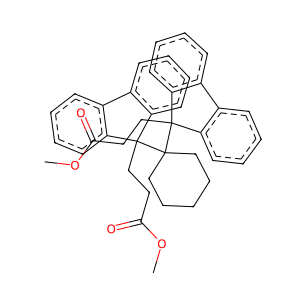 COC(=O)CCC1(C2(C3(CCC(=O)OC)c4ccccc4-c4ccccc43)CCCCC2)c2ccccc2-c2ccccc21